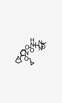 Cc1nc(C(C)(C)NC(=O)Oc2ccc(N3CCCC3)c(OCC3CC3)n2)no1